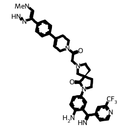 CN/C=C(\N=N)c1ccc(C2=CCN(C(=O)CN3CC[C@]4(CCN(c5ccc(N)c(C(=N)c6ccnc(C(F)(F)F)c6)c5)C4=O)C3)CC2)cc1